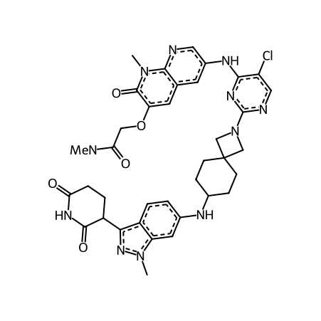 CNC(=O)COc1cc2cc(Nc3nc(N4CC5(CCC(Nc6ccc7c(C8CCC(=O)NC8=O)nn(C)c7c6)CC5)C4)ncc3Cl)cnc2n(C)c1=O